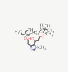 CC[Si](CC)(CC)OCCc1ncn(C)c1C(O)CCO[Si](C)(C)C(C)(C)C